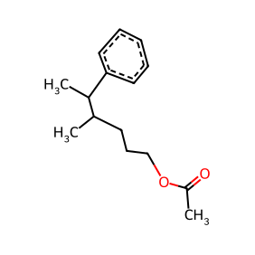 CC(=O)OCCCC(C)C(C)c1ccccc1